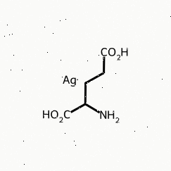 NC(CCC(=O)O)C(=O)O.[Ag]